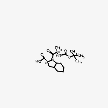 C[C@H](NC(=O)OC(C)(C)C)C(=O)N1C2CCCCC2C[C@H]1C(=O)O